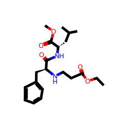 CCOC(=O)CCN[C@@H](Cc1ccccc1)C(=O)N[C@@H](CC(C)C)C(=O)OC